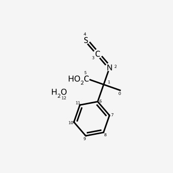 CC(N=C=S)(C(=O)O)c1ccccc1.O